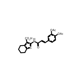 CC(=O)Oc1ccc(C=CC(=O)Nc2sc3c(c2C(=O)O)CCCC3)cc1OC(C)=O